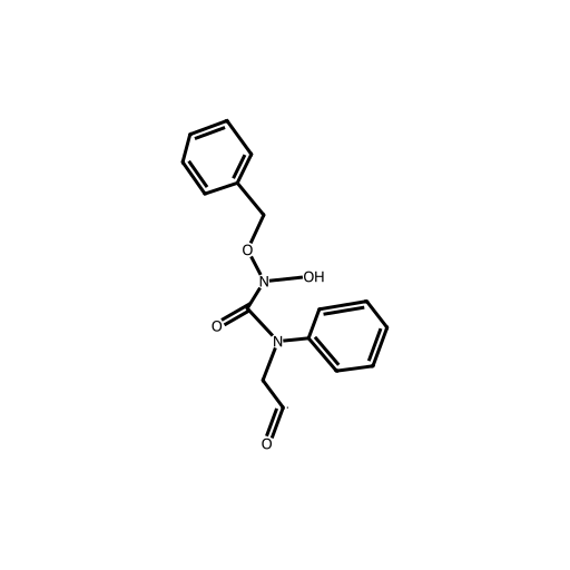 O=[C]CN(C(=O)N(O)OCc1ccccc1)c1ccccc1